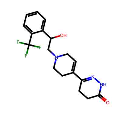 O=C1CCC(C2=CCN(CC(O)c3ccccc3C(F)(F)F)CC2)=NN1